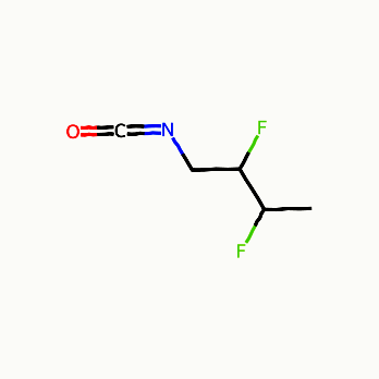 CC(F)C(F)CN=C=O